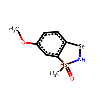 COc1ccc2c(c1)[SH](C)(=O)N[Se]2